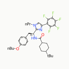 CCCCOc1ccc(C[C@H](NC(=O)C2CCC(C(C)(C)C)CC2)c2nc(-c3c(F)c(F)c(F)c(F)c3F)cn2CCC)cc1